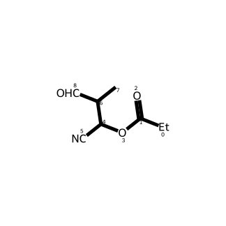 CCC(=O)OC(C#N)C(C)C=O